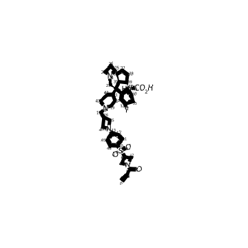 C#CC(=O)N1CC(S(=O)(=O)c2ccc(N3CC(CN4CCC([C@@](CN5CCC5)(c5cccc(F)c5)[C@H]5CCC[C@@H]5NC(=O)O)CC4)C3)cc2)C1